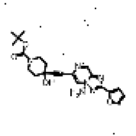 CC(C)(C)OC(=O)N1CCC(O)(C#CC2=C[N+]3(N)N=C(c4ccco4)N=C3C=N2)CC1